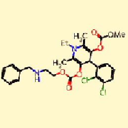 CCN1C(C)=C(OC(=O)OC)C(c2cccc(Cl)c2Cl)C(OC(=O)OCCNCc2ccccc2)=C1C